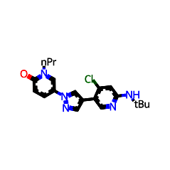 CCCn1cc(-n2cc(-c3cnc(NC(C)(C)C)cc3Cl)cn2)ccc1=O